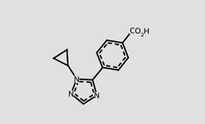 O=C(O)c1ccc(-c2ncnn2C2CC2)cc1